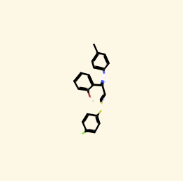 Cc1ccc(/N=C(/C=C/Sc2ccc(F)cc2)c2ccccc2Br)cc1